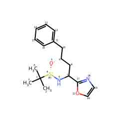 CC(C)(C)[S@+]([O-])NC(CCCc1ccccc1)c1ncco1